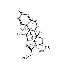 CC(=O)OCC(=O)[C@]1(OC(C)=O)[C@@H](C)C[C@H]2[C@@H]3CCC4=CC(=O)C=C[C@]4(C)[C@@]3(Br)[C@@H](O)C[C@@]21C